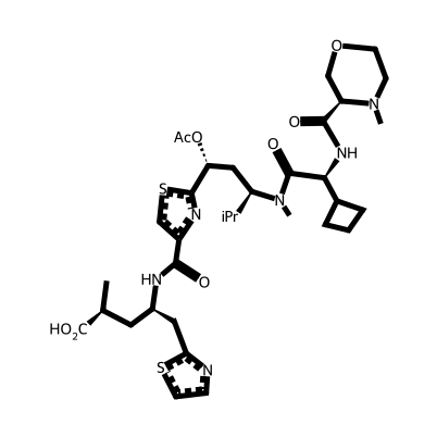 CC(=O)O[C@H](C[C@H](C(C)C)N(C)C(=O)[C@@H](NC(=O)[C@H]1COCCN1C)C1CCC1)c1nc(C(=O)N[C@@H](Cc2nccs2)C[C@H](C)C(=O)O)cs1